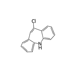 ClC1=Cc2ccccc2Nc2ccccc21